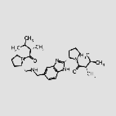 CC(C)[C@H](C)C(=O)N1CCC[C@H]1CNCc1ccc2[nH]c([C@@H]3CCCN3C(=O)[C@@H](C)C(C)C)nc2c1